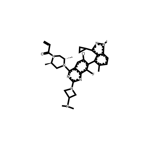 C=CC(=O)N1C[C@H](C)N(c2nc(N3CC(N(C)C)C3)nc3c(F)c(-c4c(C)ccc5c4c(C4CC4)nn5I)c(Cl)cc23)C[C@H]1C